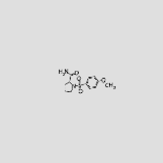 COc1ccc(S(=O)(=O)N2CCCC2C(N)=O)cc1